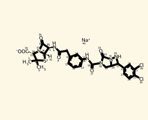 CC1(C)S[C@@H]2[C@H](NC(=O)Cc3cccc(NC(=O)N4CC5C(c6ccc(Cl)c(Cl)c6)NN5C4=O)c3)C(=O)N2[C@H]1C(=O)[O-].[Na+]